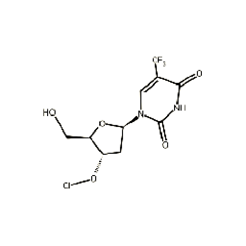 O=c1[nH]c(=O)n([C@H]2C[C@H](OCl)[C@@H](CO)O2)cc1C(F)(F)F